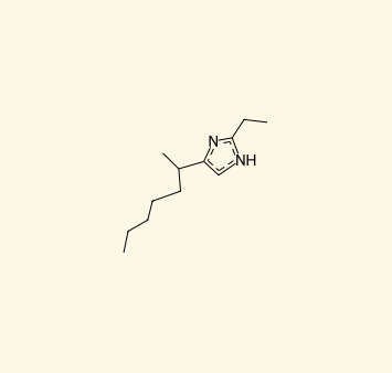 CCCCCC(C)c1c[nH]c(CC)n1